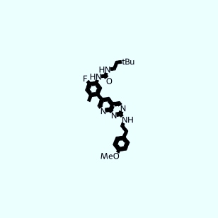 COc1ccc(CCNc2ncc3cc(-c4cc(NC(=O)NCCC(C)(C)C)c(F)cc4C)cnc3n2)cc1